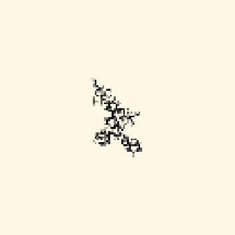 C=CCOC(=O)Nc1cccc(C(CC)N(C(=O)OC(C)(C)C)c2cc(N3CCOCC3)cc(COC3CCCCO3)n2)c1